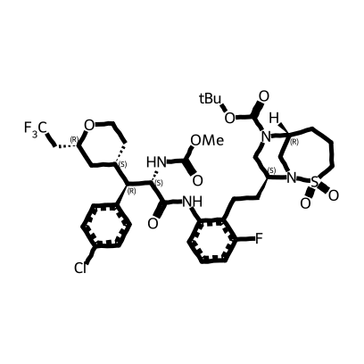 COC(=O)N[C@H](C(=O)Nc1cccc(F)c1CC[C@H]1CN(C(=O)OC(C)(C)C)[C@@H]2CCCS(=O)(=O)N1C2)[C@@H](c1ccc(Cl)cc1)[C@H]1CCO[C@@H](CC(F)(F)F)C1